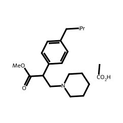 CC(=O)O.COC(=O)C(CN1CCCCC1)c1ccc(CC(C)C)cc1